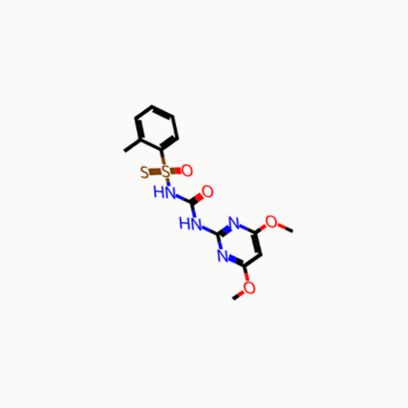 COc1cc(OC)nc(NC(=O)NS(=O)(=S)c2ccccc2C)n1